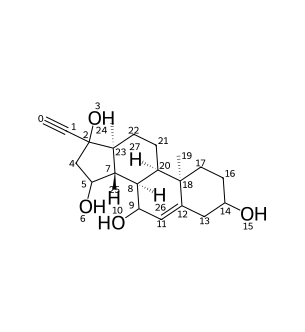 C#CC1(O)CC(O)[C@H]2[C@@H]3C(O)C=C4CC(O)CC[C@]4(C)[C@@H]3CC[C@@]21C